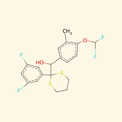 Cc1cc(C(O)C2(c3cc(F)cc(F)c3)SCCCS2)ccc1OC(F)F